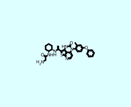 C=C(N[C@@H]1CCCC[C@@H]1NC(=O)CN)c1sc2nccc3c2c1NC(=O)N3c1ccc(Oc2ccccc2)cc1C